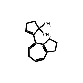 CC1(C)CCC=C1C1=CCC=CC2=C1CCC2